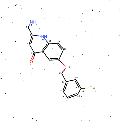 NCc1cc(=O)c2cc(OCc3cccc(F)c3)ccc2[nH]1